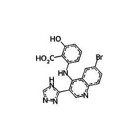 O=C(O)c1c(O)cccc1Nc1c(-c2nnc[nH]2)cnc2ccc(Br)cc12